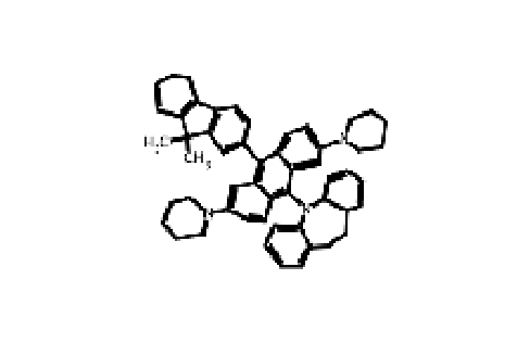 CC1(C)C2=C(CCC=C2)c2ccc(-c3c4cc(N5CCCCC5)ccc4c(N4c5ccccc5CCC5C=CC=CC54)c4cc(N5CCCCC5)ccc34)cc21